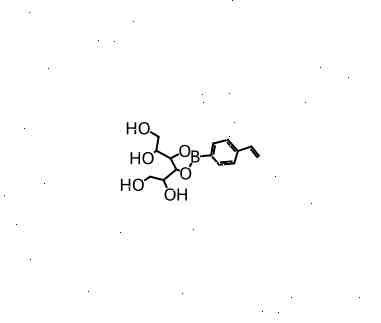 C=Cc1ccc(B2OC(C(O)CO)C(C(O)CO)O2)cc1